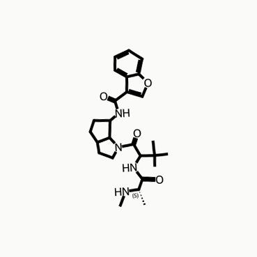 CN[C@@H](C)C(=O)NC(C(=O)N1CCC2CCC(NC(=O)c3coc4ccccc34)C21)C(C)(C)C